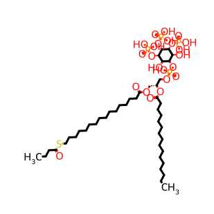 CCCCCCCCCCCCCCCC(=O)O[C@H](COC(=O)CCCCCCCCCCCCCCCSC(=O)CCC)COP(=O)(O)OC1C(O)[C@@H](OP(=O)(O)O)C(OP(=O)(O)O)[C@@H](OP(=O)(O)O)[C@H]1O